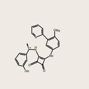 COc1ccc(Nc2c(N[C@H](C)c3cccc(O)c3)c(=O)c2=O)cc1-c1ccccn1